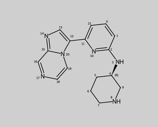 c1cc(N[C@@H]2CCCNC2)nc(-c2cnc3cnccn23)c1